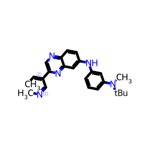 C/C=C(\C=N/C)c1cnc2ccc(Nc3cccc(N(C)C(C)(C)C)c3)cc2n1